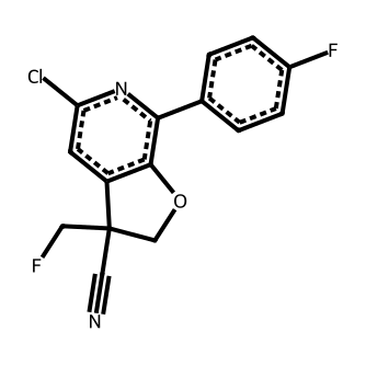 N#CC1(CF)COc2c1cc(Cl)nc2-c1ccc(F)cc1